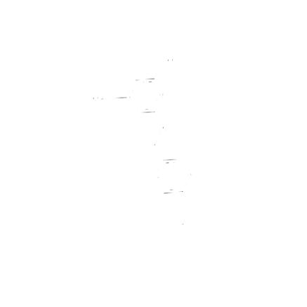 CCOC(=O)COc1ccc(C=Cc2cc(OC)cc(OC)c2)cc1